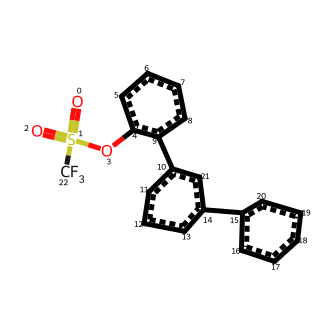 O=S(=O)(Oc1ccccc1-c1cccc(-c2ccccc2)c1)C(F)(F)F